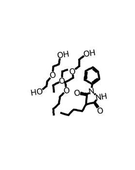 CCCCC1C(=O)NN(c2ccccc2)C1=O.CCCCOCCOCCO.CCOCC.OCCOCCO